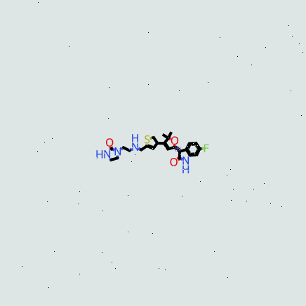 CC1(C)O/C(=C2/C(=O)Nc3cc(F)ccc32)C=C1C1C=C(CNCCN2CCNC2=O)SC1